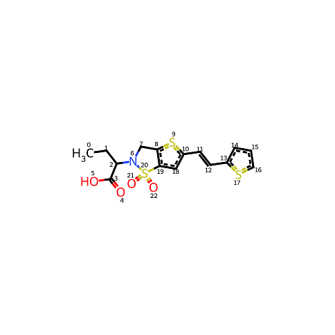 CCC(C(=O)O)N1Cc2sc(/C=C/c3cccs3)cc2S1(=O)=O